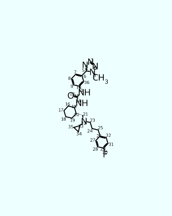 Cn1nnnc1-c1cccc(NC(=O)N[C@@H]2CCCC[C@H]2CN(CCCc2ccc(F)cc2)C2CC2)c1